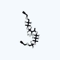 C#CCOCC(F)(F)OC(C)(C)C(F)(F)C(F)(F)OC(C)C(N)C(F)(F)OC(C)(C)C(F)(F)COCC#C